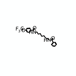 O=C(NCCCCCCCNC(=O)c1ccc(OC(F)(F)F)cc1)c1ccccc1